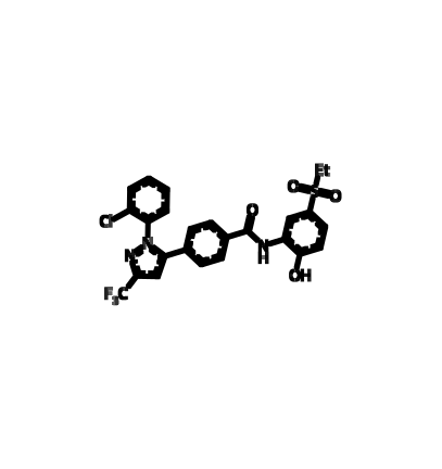 CCS(=O)(=O)c1ccc(O)c(NC(=O)c2ccc(-c3cc(C(F)(F)F)nn3-c3ccccc3Cl)cc2)c1